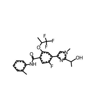 Cc1ccccc1NC(=O)c1cc(F)c(-c2cn(C)c(C(C)O)n2)cc1OC(C)C(F)(F)F